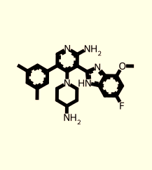 COc1cc(F)cc2[nH]c(-c3c(N)ncc(-c4cc(C)cc(C)c4)c3N3CCC(N)CC3)nc12